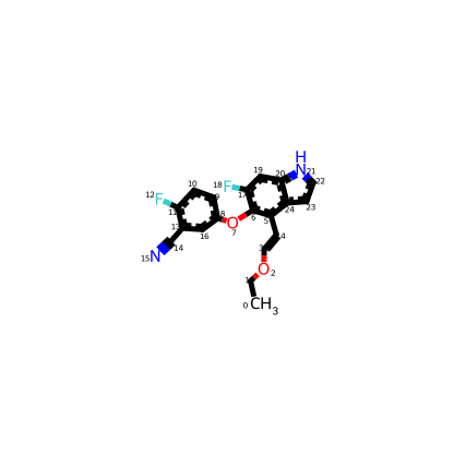 CCOC=Cc1c(Oc2ccc(F)c(C#N)c2)c(F)cc2[nH]ccc12